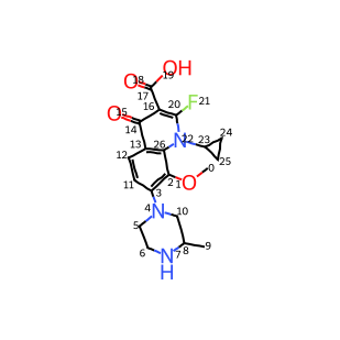 COc1c(N2CCNC(C)C2)ccc2c(=O)c(C(=O)O)c(F)n(C3CC3)c12